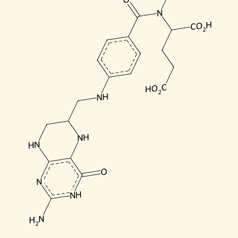 Nc1nc2c(c(=O)[nH]1)NC(CNc1ccc(C(=O)N(C=O)C(CCC(=O)O)C(=O)O)cc1)CN2